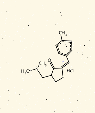 Cc1ccc(/C=C2/CCC(CN(C)C)C2=O)cc1.Cl